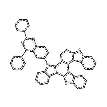 c1ccc(-c2nc(-c3ccccc3)c3cc(-n4c5ccccc5c5c6sc7ccccc7c6c6c(ccc7sc8ccccc8c76)c54)ccc3n2)cc1